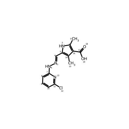 Cc1[nH]c(C=NNc2cccc(Cl)n2)c(C)c1C(=O)O